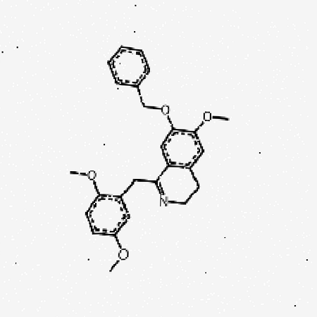 COc1ccc(OC)c(CC2=NCCc3cc(OC)c(OCc4ccccc4)cc32)c1